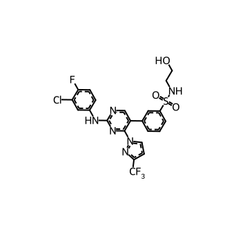 O=S(=O)(NCCO)c1cccc(-c2cnc(Nc3ccc(F)c(Cl)c3)nc2-n2ccc(C(F)(F)F)n2)c1